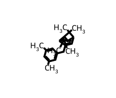 Cc1cc(C)cc(Cc2cc3c4c(c2C4(C)C)C3(C)C)c1